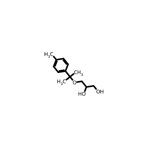 Cc1ccc(C(C)(C)OCC(O)CO)cc1